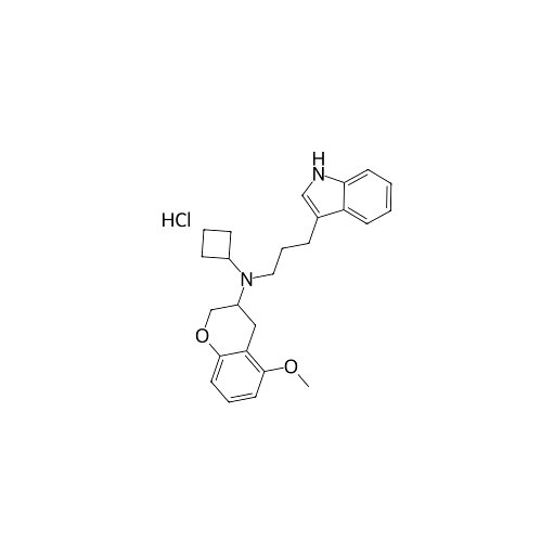 COc1cccc2c1CC(N(CCCc1c[nH]c3ccccc13)C1CCC1)CO2.Cl